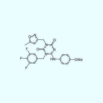 COc1ccc(Nc2nc(=O)n(Cc3cc(C)on3)c(=O)n2Cc2cc(F)c(F)c(F)c2)cc1